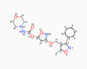 Cc1onc(-c2ccccc2)c1COc1cc(OC(=O)NN2CCOCC2)on1